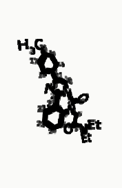 CCN(CC)C(=O)Cn1c(=O)n2cc(-c3ccc(C)cc3)nc2c2ccccc21